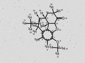 [2H]c1c([2H])c2c3c(c1OC([2H])([2H])[2H])OC1C(=O)C([2H])([2H])C[C@H]4[C@H](N(C([2H])([2H])[2H])CC[C@]314)C2([2H])[2H]